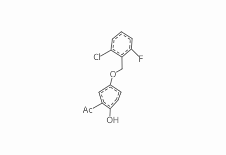 CC(=O)c1cc(OCc2c(F)cccc2Cl)ccc1O